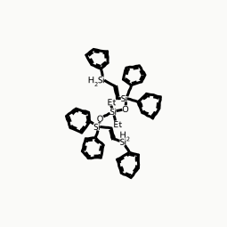 CC[Si](CC)(O[Si](C=C[SiH2]c1ccccc1)(c1ccccc1)c1ccccc1)O[Si](C=C[SiH2]c1ccccc1)(c1ccccc1)c1ccccc1